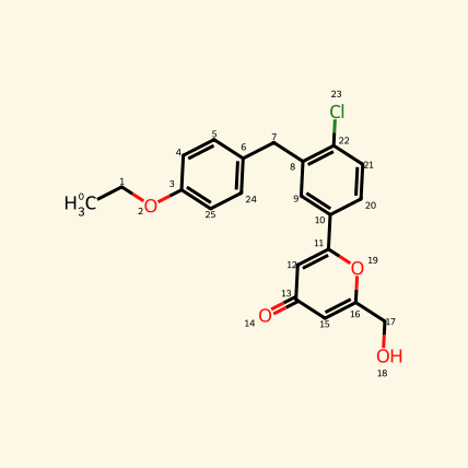 CCOc1ccc(Cc2cc(-c3cc(=O)cc(CO)o3)ccc2Cl)cc1